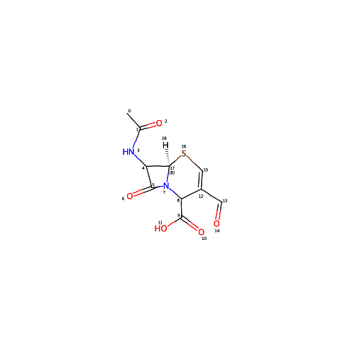 CC(=O)NC1C(=O)N2C(C(=O)O)C(C=O)=CS[C@H]12